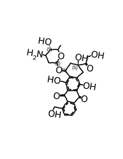 CC1O[C@@H](O[C@H]2C[C@](O)(C(=O)CO)Cc3c(O)c4c(c(O)c32)C(=O)c2c(CO)cccc2C4=O)CC(N)[C@@H]1O